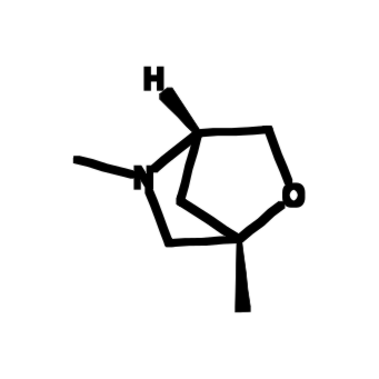 CN1C[C@]2(C)C[C@H]1CO2